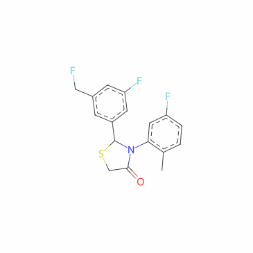 Cc1ccc(F)cc1N1C(=O)CSC1c1cc(F)cc(CF)c1